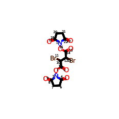 O=C(ON1C(=O)CCC1=O)C(Br)C(Br)C(=O)ON1C(=O)CCC1=O